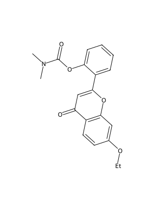 CCOc1ccc2c(=O)cc(-c3ccccc3OC(=O)N(C)C)oc2c1